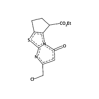 CCOC(=O)C1CCc2sc3nc(CCl)cc(=O)n3c21